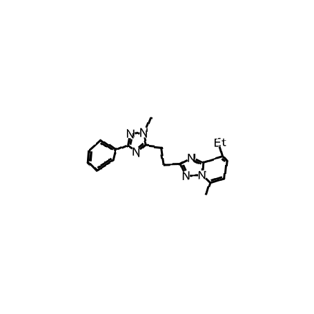 CCc1ccc(C)n2nc(CCc3nc(-c4ccccc4)nn3C)nc12